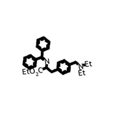 CCOC(=O)C(Cc1ccc(CN(CC)CC)cc1)N=C(c1ccccc1)c1ccccc1